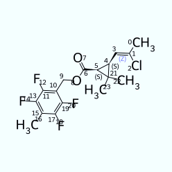 C/C(Cl)=C/[C@@H]1[C@H](C(=O)OCc2c(F)c(F)c(C)c(F)c2F)C1(C)C